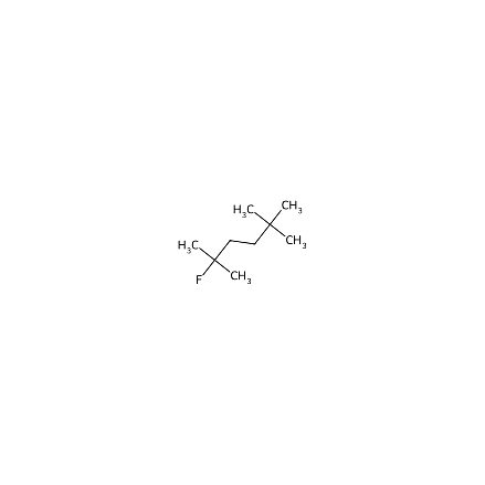 CC(C)(C)CCC(C)(C)F